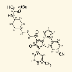 Cc1c(-c2ccnn2-c2ccc(C#N)cc2)n(C(=O)CCCC2CCC(NC(O)OC(C)(C)C)CC2)c(=O)n1-c1cccc(C(F)(F)F)c1